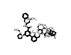 COc1c(CN2O[C@@H](CO)[C@@H]([C@H](C)O)[C@H]2C(=O)N[C@H]2C[C@H]3CC([C@@H]2C)C3(C)C)cccc1-c1cc(C(=O)N[C@@H](Cc2ccccc2)CN(C)C)cc(N2CCC[C@@H]2CO)c1